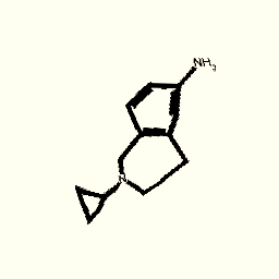 Nc1ccc2c(c1)CCCN(C1CC1)C2